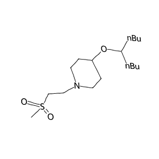 CCCCC(CCCC)OC1CCN(CCS(C)(=O)=O)CC1